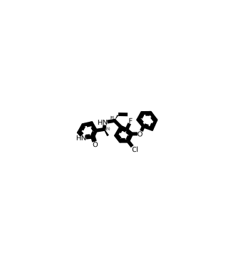 CC[C@@H](N[C@@H](C)c1ccc[nH]c1=O)c1ccc(Cl)c(Oc2ccccc2)c1F